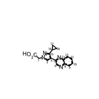 O=C(O)Cn1cc(-c2cnc3ccccc3n2)c(C2CC2)n1